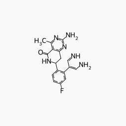 Cc1nc(N)nc2c1C(=O)NC(c1ccc(F)cc1/C(C=N)=C/N)C2